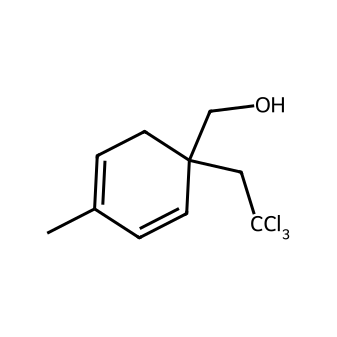 CC1=CCC(CO)(CC(Cl)(Cl)Cl)C=C1